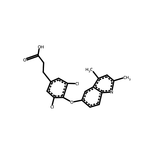 Cc1cc(C)c2cc(Oc3c(Cl)cc(CCC(=O)O)cc3Cl)ccc2n1